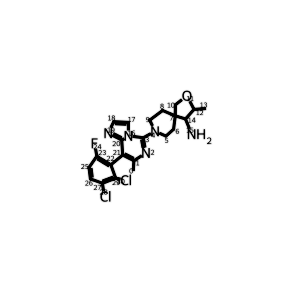 Cc1nc(N2CCC3(CC2)COC(C)C3N)n2ccnc2c1-c1c(F)ccc(Cl)c1Cl